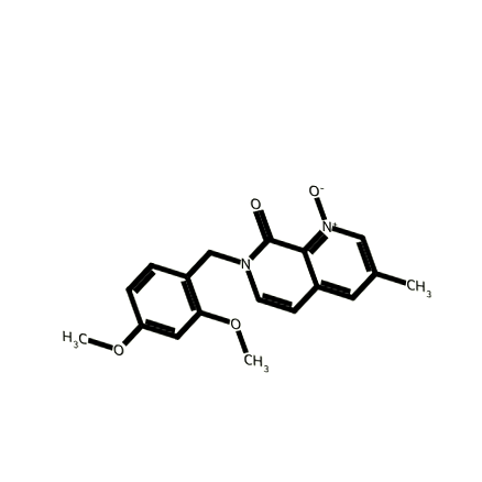 COc1ccc(Cn2ccc3cc(C)c[n+]([O-])c3c2=O)c(OC)c1